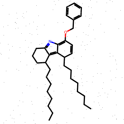 CCCCCCCCC1C=CC(OCc2ccccc2)=C2N=C3CCCC(CCCCCCCC)C3=C21